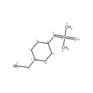 CC(C)(C)CN1CCC(N=S(C)(C)=O)CC1